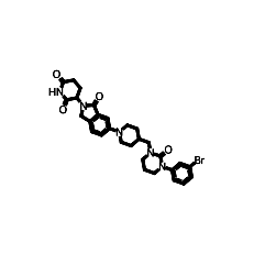 O=C1CCC(N2Cc3ccc(N4CCC(CN5CCCN(c6cccc(Br)c6)C5=O)CC4)cc3C2=O)C(=O)N1